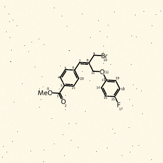 COC(=O)c1ccc(C=C(CBr)COc2ccc(F)cc2)cc1